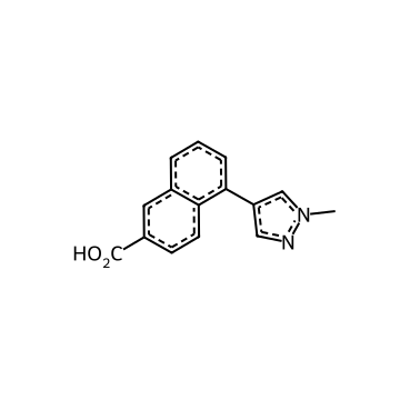 Cn1cc(-c2cccc3cc(C(=O)O)ccc23)cn1